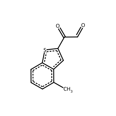 Cc1cccc2sc(C(=O)C=O)cc12